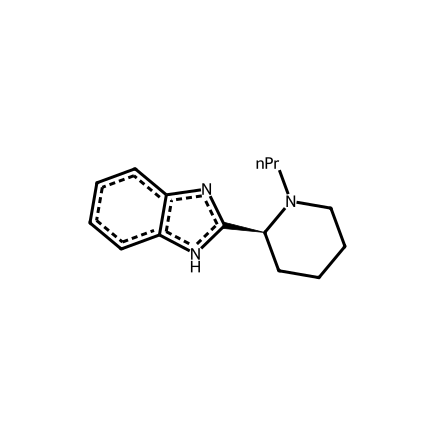 CCCN1CCCC[C@H]1c1nc2ccccc2[nH]1